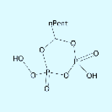 CCCCCC1OP(=O)(O)OP(=O)(OO)O1